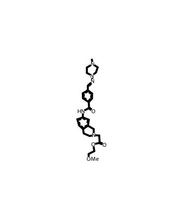 COCCOC(=O)CN1CCc2ccc(NC(=O)c3ccc(C=NN4CCN(C)CC4)cc3)cc2C1